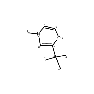 CN1C=COC(C(C)(C)C)=C1